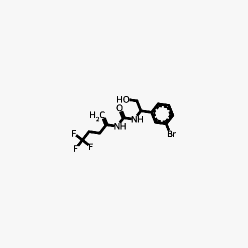 C=C(CCC(F)(F)F)NC(=O)NC(CO)c1cccc(Br)c1